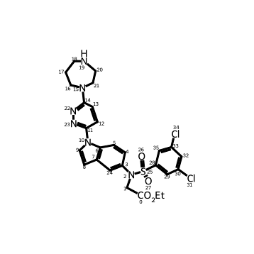 CCOC(=O)CN(c1ccc2c(ccn2-c2ccc(N3CCCNCC3)nn2)c1)S(=O)(=O)c1cc(Cl)cc(Cl)c1